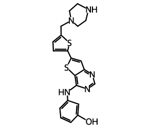 Oc1cccc(Nc2ncnc3cc(-c4ccc(CN5CCNCC5)s4)sc23)c1